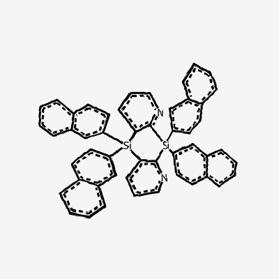 c1cnc2c(c1)[Si](c1ccc3ccccc3c1)(c1ccc3ccccc3c1)c1cccnc1[Si]2(c1ccc2ccccc2c1)c1ccc2ccccc2c1